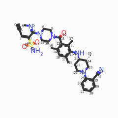 C#C/C=C(\C(=N/C)N1CCN(C(=O)c2c(C)cc(C)c(N[C@@H]3CCN(c4ccccc4C#N)C[C@H]3C)c2C)CC1)S(N)(=O)=O